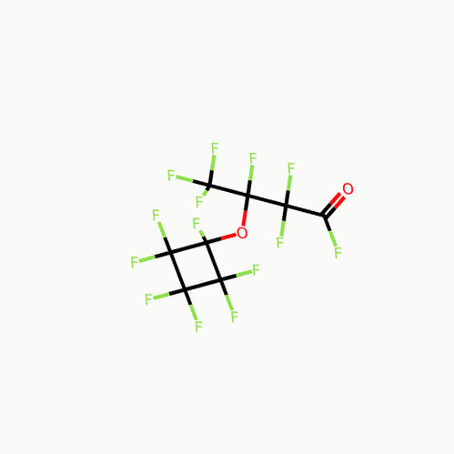 O=C(F)C(F)(F)C(F)(OC1(F)C(F)(F)C(F)(F)C1(F)F)C(F)(F)F